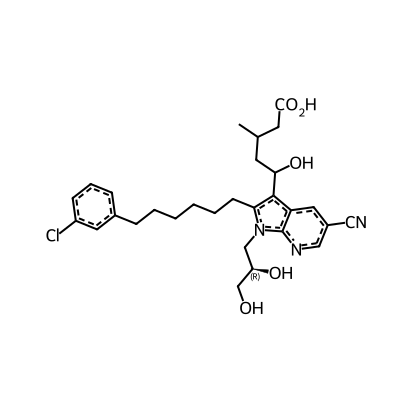 CC(CC(=O)O)CC(O)c1c(CCCCCCc2cccc(Cl)c2)n(C[C@@H](O)CO)c2ncc(C#N)cc12